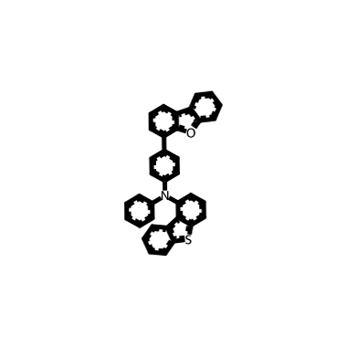 c1ccc(N(c2ccc(-c3cccc4c3oc3ccccc34)cc2)c2cccc3sc4ccccc4c23)cc1